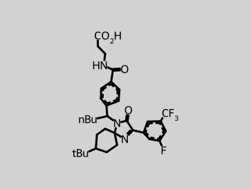 CCCCC(c1ccc(C(=O)NCCC(=O)O)cc1)N1C(=O)C(c2cc(F)cc(C(F)(F)F)c2)=NC12CCC(C(C)(C)C)CC2